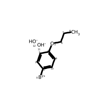 [B+2]c1ccc(OCCC)cc1.[OH-].[OH-]